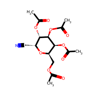 CC(=O)OC[C@H]1O[C@H](C#N)[C@H](OC(C)=O)[C@@H](OC(C)=O)[C@H]1OC(C)=O